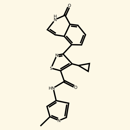 Cc1cc(NC(=O)c2snc(-c3cccc4c(=O)[nH]ccc34)c2C2CC2)ccn1